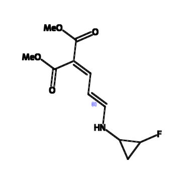 COC(=O)C(=C/C=C/NC1CC1F)C(=O)OC